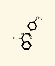 C[C@@H](NC(=O)[C@H]1CC[C@H](C)CC1)c1ccccc1